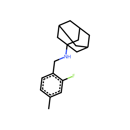 Cc1ccc(CNC23CC4CC(CC(C4)C2)C3)c(F)c1